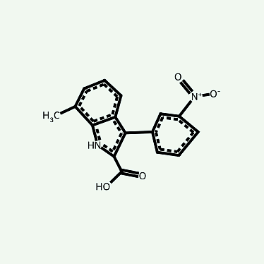 Cc1cccc2c(-c3cccc([N+](=O)[O-])c3)c(C(=O)O)[nH]c12